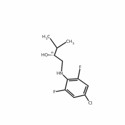 CC(C)[C@@H](O)CNc1c(F)cc(Cl)cc1F